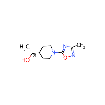 C[C@@H](O)C1CCN(c2nc(C(F)(F)F)no2)CC1